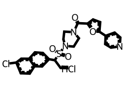 C=CC(c1ccc2cc(Cl)ccc2c1)S(=O)(=O)N1CCN(C(=O)c2ccc(-c3ccncc3)o2)CC1.Cl